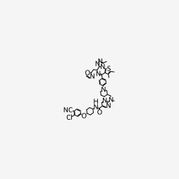 Cc1sc2c(c1C)C(c1ccc(N3CCCC(CN(C)c4ncc(C(=O)NC5CCC(Oc6ccc(C#N)c(Cl)c6)CC5)cn4)C3)cc1)=NC(Cc1ncco1)c1nnc(C)n1-2